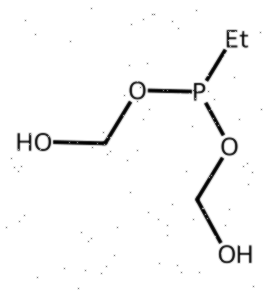 CCP(OCO)OCO